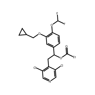 CCC(=O)OC(Cc1c(Cl)cncc1Cl)c1ccc(OC(F)F)c(OCC2CC2)c1